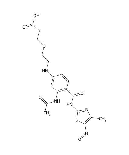 CC(=O)Nc1cc(NCCOCCC(=O)O)ccc1C(=O)Nc1nc(C)c(N=O)s1